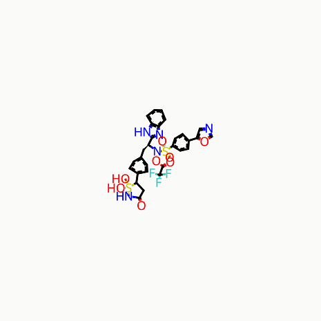 O=C1CC(c2ccc(C[C@@H](c3nc4ccccc4[nH]3)N(OC(=O)C(F)(F)F)S(=O)(=O)c3ccc(-c4cnco4)cc3)cc2)S(O)(O)N1